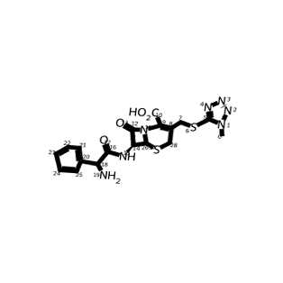 Cn1nnnc1SCC1=C(C(=O)O)N2C(=O)[C@H](NC(=O)C(N)c3ccccc3)C2SC1